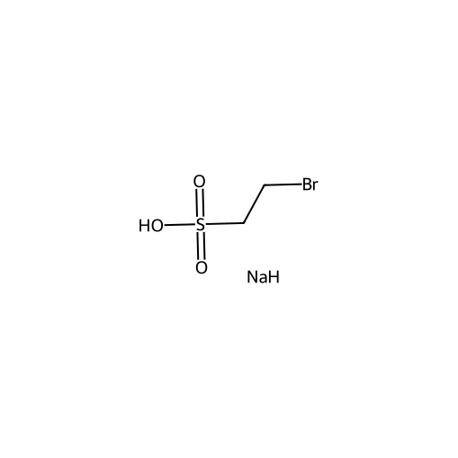 O=S(=O)(O)CCBr.[NaH]